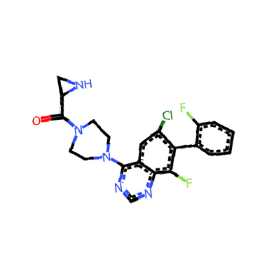 O=C(C1CN1)N1CCN(c2ncnc3c(F)c(-c4ccccc4F)c(Cl)cc23)CC1